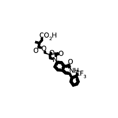 CC(CC(=O)O)C(=O)OC[C@@H]1CN(c2ccc3cc(-c4ccccc4C(F)(F)F)[nH]c(=O)c3c2)C(=O)O1